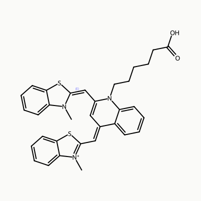 CN1/C(=C\C2=CC(=Cc3sc4ccccc4[n+]3C)c3ccccc3N2CCCCCC(=O)O)Sc2ccccc21